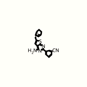 N#Cc1cccc(-c2nc(N)c3cc(CN4C5CCC4CC5)sc3n2)c1